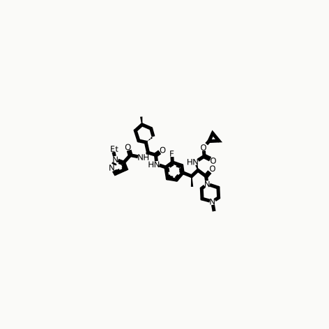 CCn1nccc1C(=O)N[C@H](C(=O)Nc1ccc([C@H](C)[C@@H](NC(=O)OC2CC2)C(=O)N2CCN(C)CC2)cc1F)[C@H]1CC[C@H](C)CC1